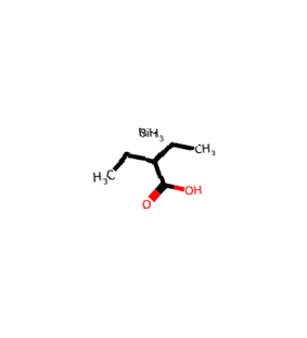 CCC(CC)C(=O)O.[BiH3]